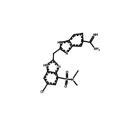 CN(C)S(=O)(=O)c1cc(Cl)cc2[nH]c(Cc3nc4cc(C(=N)N)ccc4[nH]3)nc12